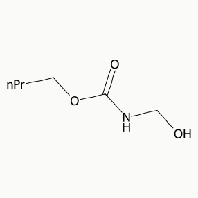 CCCCOC(=O)NCO